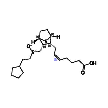 O=C(O)CCC/C=C\C[C@@H]1[C@H](C[S+]([O-])CCC2CCCC2)[C@@H]2CC[C@H]1S2